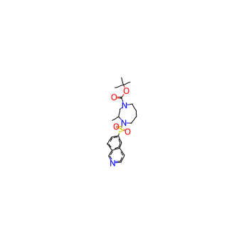 CC1CN(C(=O)OC(C)(C)C)CCCCN1S(=O)(=O)c1ccc2cnccc2c1